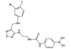 O=C(NCCNc1nonc1CNc1ccc(F)c(Br)c1)Nc1ccc(B(O)O)cc1